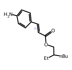 CCCCC(CC)COC(=O)/C=C/c1ccc(N)cc1